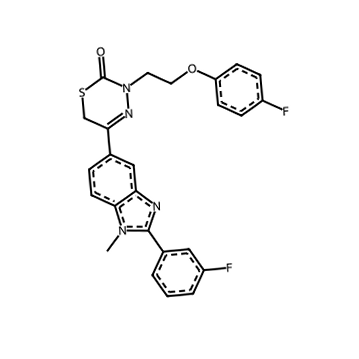 Cn1c(-c2cccc(F)c2)nc2cc(C3=NN(CCOc4ccc(F)cc4)C(=O)SC3)ccc21